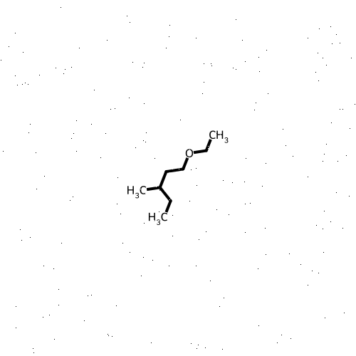 CCOCC[C](C)CC